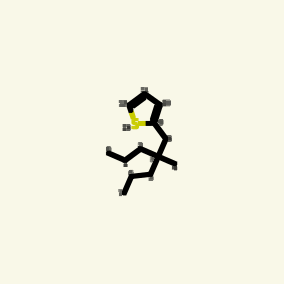 CCCC(C)(CCC)Cc1cccs1